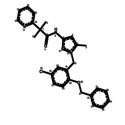 Cc1cc(NC(=O)C(C)(C)c2ccccn2)nn1Cc1cc(Cl)ccc1OCc1ccccc1